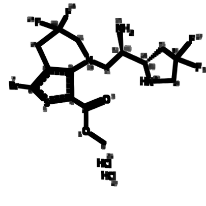 COC(=O)c1sc(Br)c2c1N(C[C@@H](N)[C@@H]1CC(F)(F)CN1)CC(F)(F)C2.Cl.Cl